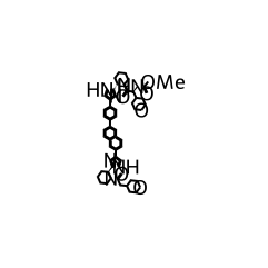 COC(=O)N[C@H](C(=O)N1CCCC[C@H]1c1nc(-c2ccc(-c3ccc4cc(-c5c[nH]c([C@@H]6CCCCN6C(=O)CC6CCOCC6)n5)ccc4c3)cc2)c[nH]1)C1CCOCC1